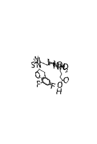 NCCC1=C[N]C(=S)N1[C@H]1COc2c(F)cc(F)cc2C1.O=C(O)CCCC(=O)O